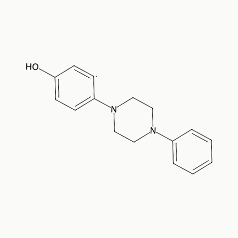 Oc1c[c]c(N2CCN(c3ccccc3)CC2)cc1